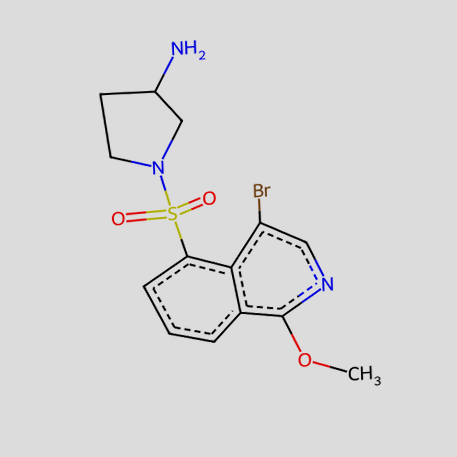 COc1ncc(Br)c2c(S(=O)(=O)N3CCC(N)C3)cccc12